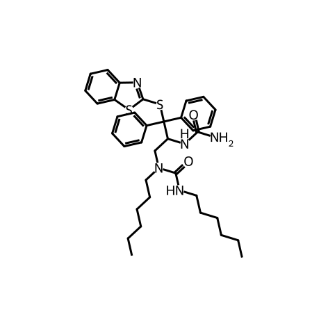 CCCCCCNC(=O)N(CCCCCC)CC(NC(N)=O)C(Sc1nc2ccccc2s1)(c1ccccc1)c1ccccc1